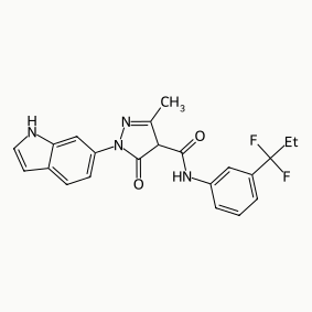 CCC(F)(F)c1cccc(NC(=O)C2C(=O)N(c3ccc4cc[nH]c4c3)N=C2C)c1